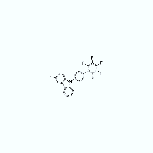 Cc1ccc2c(c1)c1ccccc1n2-c1ccc(-c2c(F)c(F)c(F)c(F)c2F)cc1